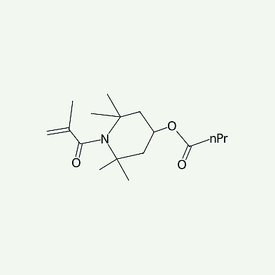 C=C(C)C(=O)N1C(C)(C)CC(OC(=O)CCC)CC1(C)C